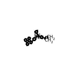 C=C/C(=C\N=C)c1ccc(-c2nc(-c3ccccc3)nc(-c3ccc(-c4cccc5c4-c4ccccc4C54c5ccccc5-c5ccccc54)cc3)n2)cc1